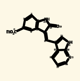 CCOC(=O)c1ccc2c(c1)C(=Cc1c[nH]c3ncccc13)C(=O)N2